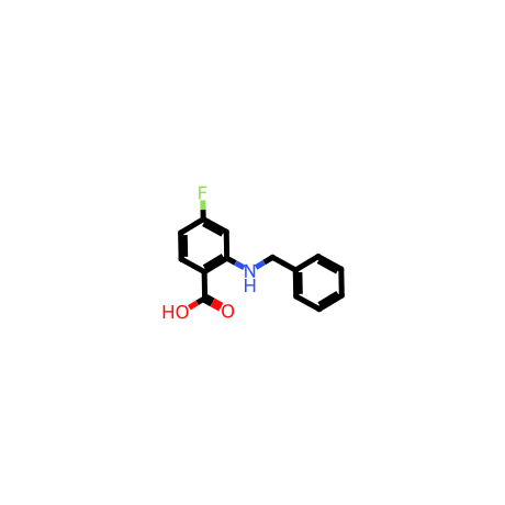 O=C(O)c1ccc(F)cc1NCc1ccccc1